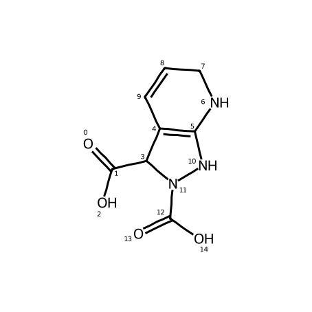 O=C(O)C1C2=C(NCC=C2)NN1C(=O)O